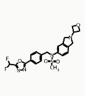 CS(=O)(=O)N(Cc1ccc(-c2nnc(C(F)F)o2)cc1)c1ccc2c(c1)CN(C1COC1)C2